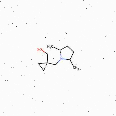 CC1CCC(C)N1CC1(CO)CC1